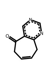 O=C1CC=CCc2ncncc21